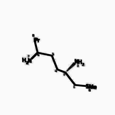 CSC[C@@H](N)CCC(N)C(C)C